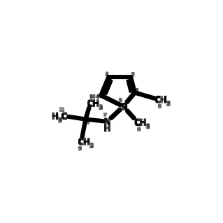 CC1=CC=C[Si]1(C)NC(C)(C)C